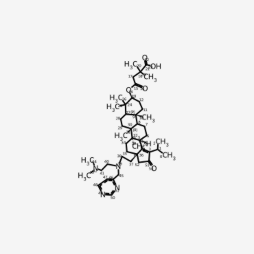 CC(C)C1=C2[C@H]3CCC4[C@@]5(C)CC[C@H](OC(=O)CC(C)(C)C(=O)O)C(C)(C)C5CC[C@@]4(C)[C@]3(C)CC[C@@]2(CCN(CCN(C)C)Cc2ccncn2)CC1=O